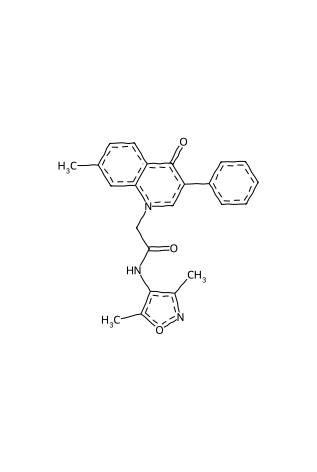 Cc1ccc2c(=O)c(-c3ccccc3)cn(CC(=O)Nc3c(C)noc3C)c2c1